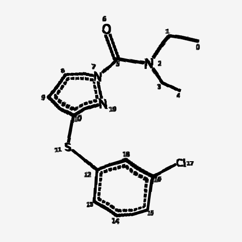 CCN(CC)C(=O)n1ccc(Sc2cccc(Cl)c2)n1